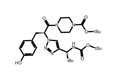 CCC(C)[C@H](NC(=O)OC(C)(C)C)c1cn([C@@H](Cc2ccc(O)cc2)C(=O)N2CCN(C(=O)OC(C)(C)C)CC2)nn1